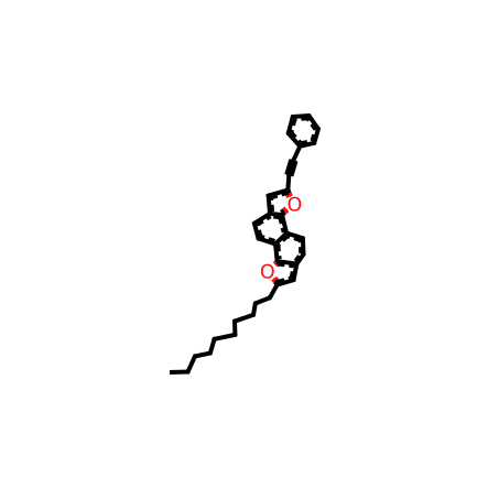 CCCCCCCCCCc1cc2ccc3c(ccc4cc(C#Cc5ccccc5)oc43)c2o1